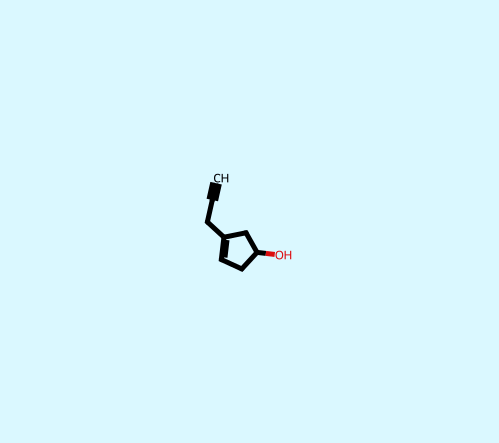 C#CCC1=CCC(O)C1